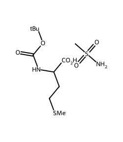 CS(N)(=O)=O.CSCCC(NC(=O)OC(C)(C)C)C(=O)O